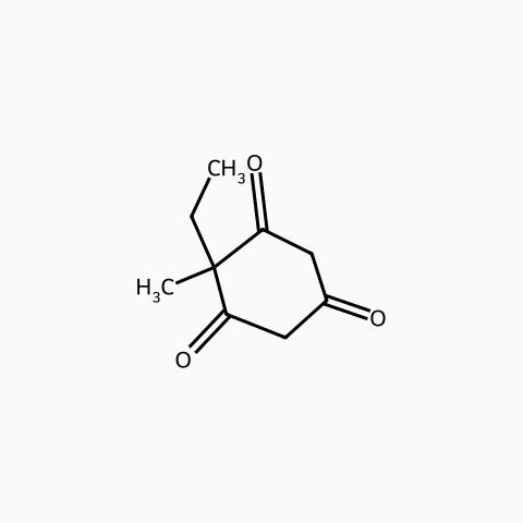 CCC1(C)C(=O)CC(=O)CC1=O